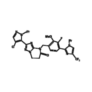 COc1c(CN2C(=O)CCn3nc(-c4c(Cl)cnn4C(C)C)nc32)ccc(-c2nc(C(F)(F)F)cn2C(C)C)c1F